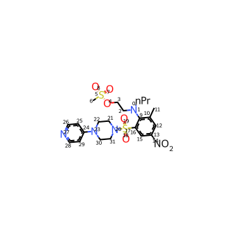 CCCN(CCOS(C)(=O)=O)c1c(C)cc([N+](=O)[O-])cc1S(=O)(=O)N1CCN(c2ccncc2)CC1